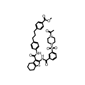 COC(=O)c1ccc(CCCc2ccc(NC(=O)c3c(NC(=O)c4cccc(S(=O)(=O)N5CCN(C(C)=O)CC5)c4)sc4c3CCCC4)cc2)cc1